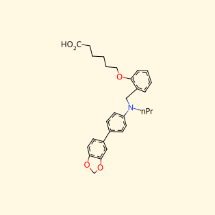 CCCN(Cc1ccccc1OCCCCCC(=O)O)c1ccc(-c2ccc3c(c2)OCO3)cc1